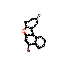 Clc1ccc2oc3cc(Br)c4ccccc4c3c2c1